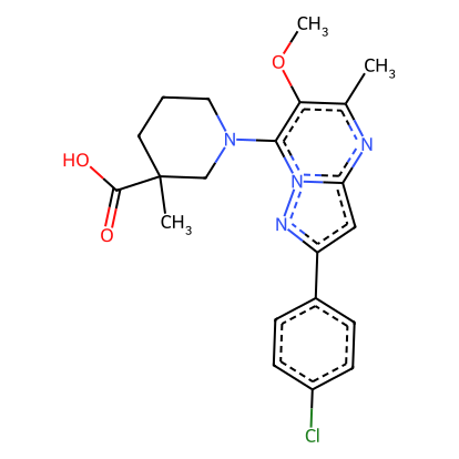 COc1c(C)nc2cc(-c3ccc(Cl)cc3)nn2c1N1CCCC(C)(C(=O)O)C1